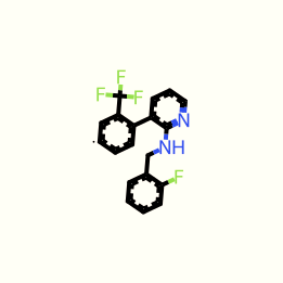 Fc1ccccc1CNc1ncccc1-c1cc[c]cc1C(F)(F)F